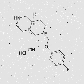 Cl.Cl.Fc1ccc(OC[C@H]2CC[C@@H]3CNCCN3C2)cc1